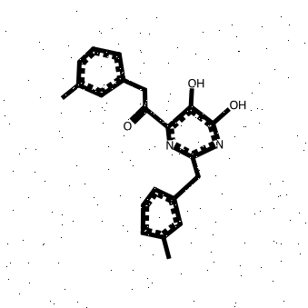 Cc1cccc(CC(=O)c2nc(Cc3cccc(C)c3)nc(O)c2O)c1